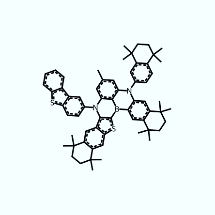 Cc1cc2c3c(c1)N(c1ccc4sc5ccccc5c4c1)c1c(sc4cc5c(cc14)C(C)(C)CCC5(C)C)B3c1cc3c(cc1N2c1ccc2c(c1)C(C)(C)CCC2(C)C)C(C)(C)CCC3(C)C